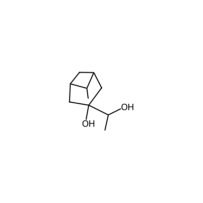 CC1C2CC1CC(O)(C(C)O)C2